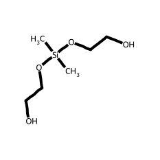 C[Si](C)(OCCO)OCCO